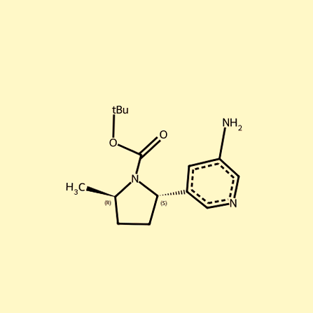 C[C@@H]1CC[C@@H](c2cncc(N)c2)N1C(=O)OC(C)(C)C